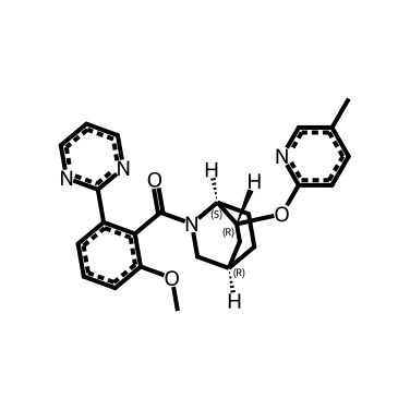 COc1cccc(-c2ncccn2)c1C(=O)N1C[C@@H]2CC[C@H]1[C@H](Oc1ccc(C)cn1)C2